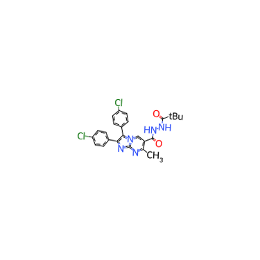 Cc1nc2nc(-c3ccc(Cl)cc3)c(-c3ccc(Cl)cc3)n2cc1C(=O)NNC(=O)C(C)(C)C